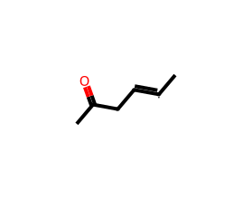 C[C]=CCC(C)=O